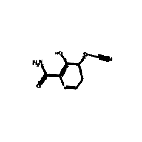 N#COC1CC=NC(C(N)=O)=C1O